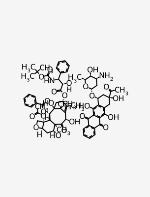 CC(=O)O[C@@]12CO[C@@H]1C[C@H](O)[C@@]1(C)C(=O)[C@H](O)C3=C(C)[C@@H](OC(=O)[C@H](O)[C@@H](NC(=O)OC(C)(C)C)c4ccccc4)C[C@@](O)([C@@H](OC(=O)c4ccccc4)[C@H]21)C3(C)C.CC(=O)[C@]1(O)Cc2c(O)c3c(c(O)c2[C@@H](O[C@H]2C[C@H](N)[C@H](O)[C@H](C)O2)C1)C(=O)c1ccccc1C3=O